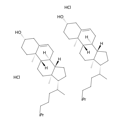 CC(C)CCCC(C)[C@H]1CC[C@H]2[C@@H]3CC=C4C[C@@H](O)CC[C@]4(C)[C@H]3CC[C@]12C.CC(C)CCCC(C)[C@H]1CC[C@H]2[C@@H]3CC=C4C[C@@H](O)CC[C@]4(C)[C@H]3CC[C@]12C.Cl.Cl